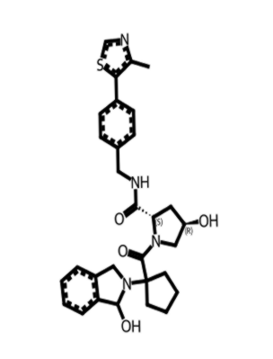 Cc1ncsc1-c1ccc(CNC(=O)[C@@H]2C[C@@H](O)CN2C(=O)C2(N3Cc4ccccc4C3O)CCCC2)cc1